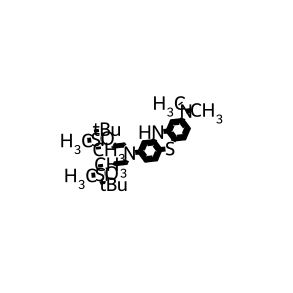 CN(C)c1ccc2c(c1)Nc1cc(N(CCO[Si](C)(C)C(C)(C)C)CCO[Si](C)(C)C(C)(C)C)ccc1S2